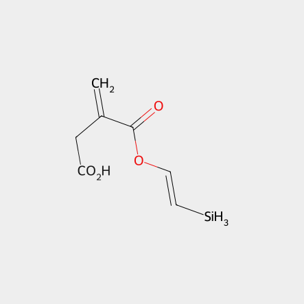 C=C(CC(=O)O)C(=O)OC=C[SiH3]